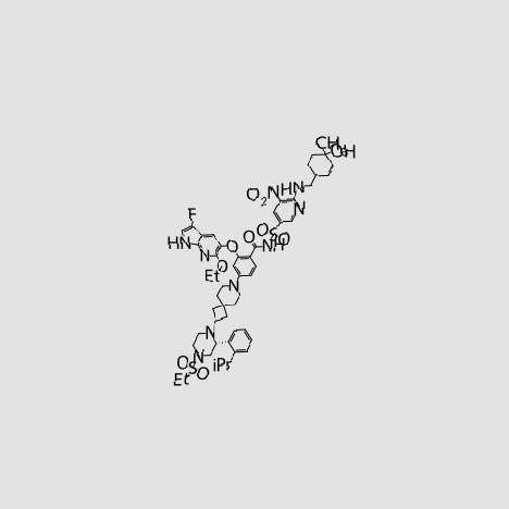 CCOc1nc2[nH]cc(F)c2cc1Oc1cc(N2CCC3(CC2)CC(N2CCN(S(=O)(=O)CC)C[C@H]2c2ccccc2C(C)C)C3)ccc1C(=O)NS(=O)(=O)c1cnc(NCC2CCC(C)(O)CC2)c([N+](=O)[O-])c1